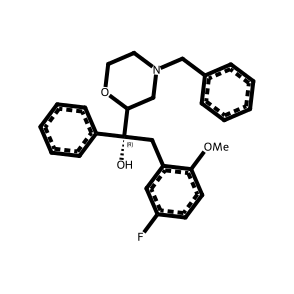 COc1ccc(F)cc1C[C@@](O)(c1ccccc1)C1CN(Cc2ccccc2)CCO1